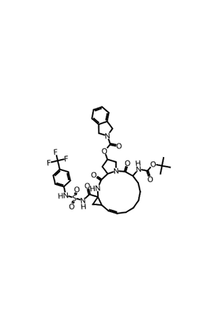 CC(C)(C)OC(=O)NC1CCCCCC=CC2CC2(C(=O)NS(=O)(=O)Nc2ccc(C(F)(F)F)cc2)NC(=O)C2CC(OC(=O)N3Cc4ccccc4C3)CN2C1=O